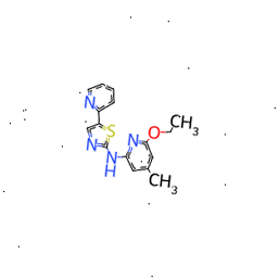 CCOc1cc(C)cc(Nc2ncc(-c3ccccn3)s2)n1